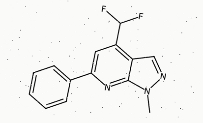 Cn1ncc2c(C(F)F)cc(-c3ccccc3)nc21